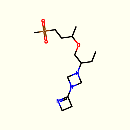 CCC(COC(C)CCS(C)(=O)=O)N1CN(C2=NCC2)C1